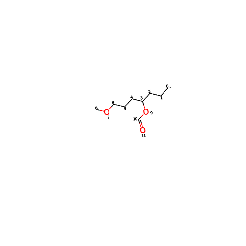 [CH2]CCC(CCCOC)OC=O